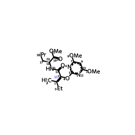 CC/C(C)=C(\Oc1nc(OC)cc(OC)n1)C(=O)N[C@@H](CC(C)C)C(=O)OC